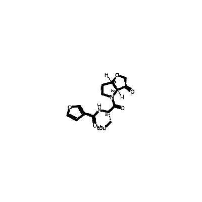 CC(C)(C)C[C@H](NC(=O)c1ccoc1)C(=O)N1CC[C@H]2OCC(=O)[C@H]21